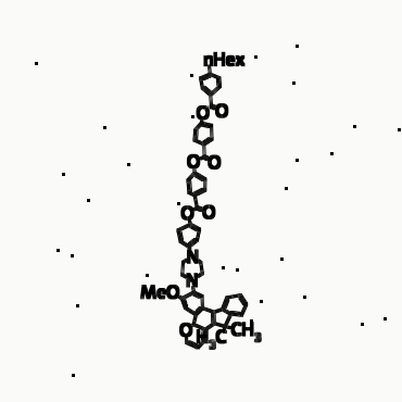 CCCCCCc1ccc(C(=O)Oc2ccc(C(=O)Oc3ccc(C(=O)Oc4ccc(N5CCN(c6cc7c(cc6OC)C6OC=CC=C6C6=C7c7ccccc7C6(C)C)CC5)cc4)cc3)cc2)cc1